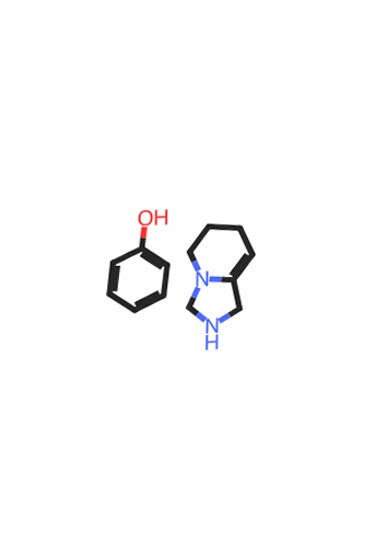 C1=C2CNCN2CCC1.Oc1ccccc1